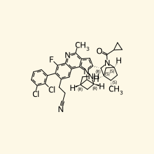 Cc1nc2c(F)c(-c3cccc(Cl)c3Cl)c(CCC#N)cc2c2c1cc([C@H]1[C@H]3C[C@H](C[C@@H]3C)N1C(=O)C1CC1)n2C1[C@H]2CN[C@@H]1C2